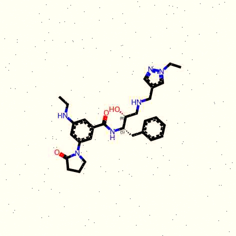 CCNc1cc(C(=O)N[C@@H](Cc2ccccc2)[C@H](O)CNCc2cnn(CC)c2)cc(N2CCCC2=O)c1